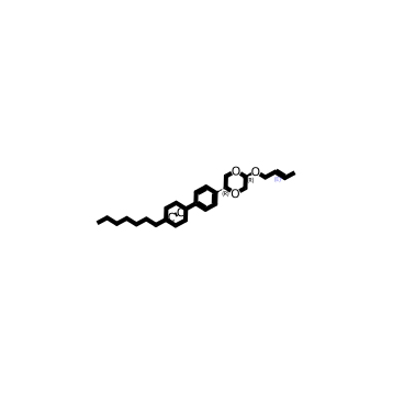 C/C=C/CO[C@H]1CO[C@H](c2ccc(C34CCC(CCCCCCC)(CC3)CC4)cc2)CO1